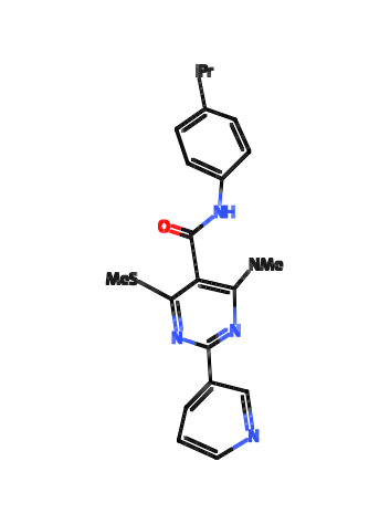 CNc1nc(-c2cccnc2)nc(SC)c1C(=O)Nc1ccc(C(C)C)cc1